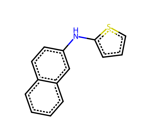 c1csc(Nc2ccc3ccccc3c2)c1